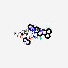 C#Cc1c(F)ccc2cccc(-c3nc4c5c(nc(OC[C@@]67CCCN6C[C@@H](OC(C(F)(F)F)(C(F)(F)F)C(F)(F)F)C7)nc5c3F)N3C[C@H]5CC[C@H](N5)[C@H]3CC4)c12